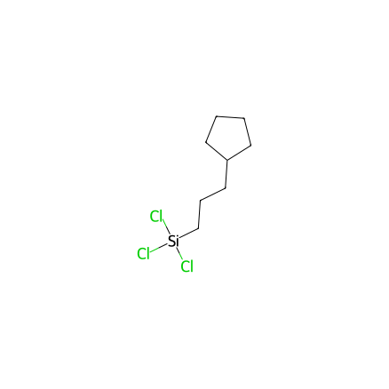 Cl[Si](Cl)(Cl)CCCC1CCCC1